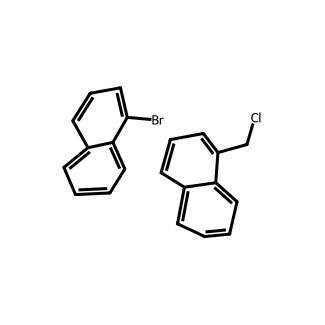 Brc1cccc2ccccc12.ClCc1cccc2ccccc12